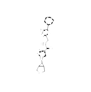 O=C(NCc1nnc(-c2ccccc2)s1)c1cn(C2C3COCC32)nn1